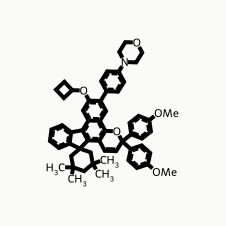 COc1ccc(C2(c3ccc(OC)cc3)C=Cc3c4c(c5cc(OC6CCC6)c(-c6ccc(N7CCOCC7)cc6)cc5c3O2)-c2ccccc2C42CC(C)(C)CC(C)(C)C2)cc1